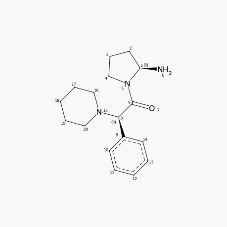 N[C@@H]1CCCN1C(=O)[C@@H](c1ccccc1)N1CCCCC1